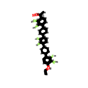 CCOc1ccc(C2CCC(c3ccc(C4CC=C(c5ccc(C(C)O)c(F)c5F)CC4)c(F)c3F)CC2)c(F)c1F